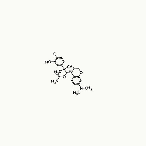 CN(C)c1ccc2c(c1)OCC[C@@H]2C(OC(N)=O)C(C)(C)c1ccc(F)c(O)c1